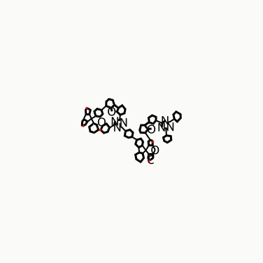 c1ccc(-c2nc(-c3ccc(-c4ccc5c(c4)-c4ccccc4C54c5ccccc5Oc5ccc(-c6cccc7c6oc6c(-c8nc(-c9ccccc9)nc(-c9ccccc9)n8)cccc67)cc54)cc3)nc(-c3cccc4c3oc3c(-c5ccc6c(c5)Oc5ccccc5C65c6ccccc6-c6ccccc65)cccc34)n2)cc1